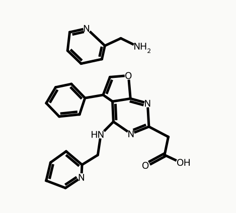 NCc1ccccn1.O=C(O)Cc1nc(NCc2ccccn2)c2c(-c3ccccc3)coc2n1